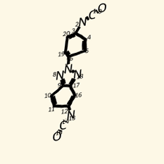 O=C=Nc1ccc(-n2nc3ccc(N=C=O)cc3n2)cc1